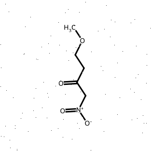 COCCC(=O)C[N+](=O)[O-]